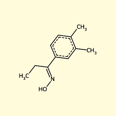 CCC(=NO)c1ccc(C)c(C)c1